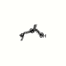 CCCCCCC(C/C=C\CCCCCCCC(=O)OC(C)(C)C(C/C=C\CCCCCCCC(=O)O)CCCCCC)OC(C)C